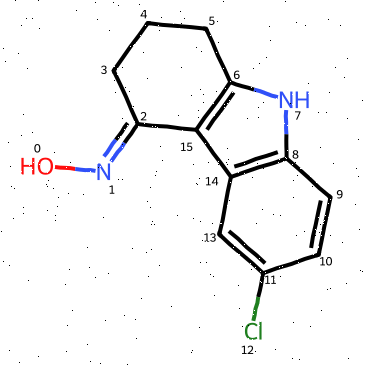 ON=C1CCCc2[nH]c3ccc(Cl)cc3c21